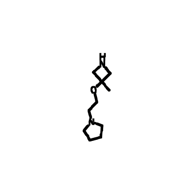 CC1(OCCN2CCCC2)CNC1